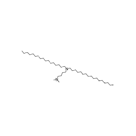 CCCCCCCCCCCCCCCCCN(CCCCCCCCCCCCCCCCC)CCCCN(C)C